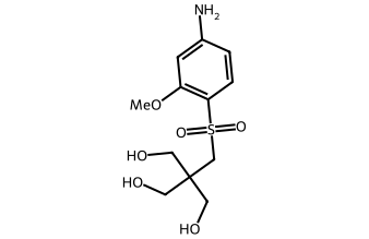 COc1cc(N)ccc1S(=O)(=O)CC(CO)(CO)CO